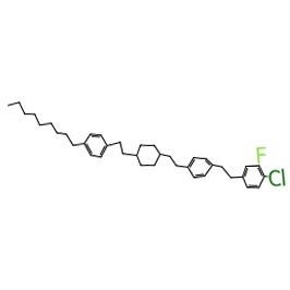 CCCCCCCCCc1ccc(CCC2CCC(CCc3ccc(CCc4ccc(Cl)c(F)c4)cc3)CC2)cc1